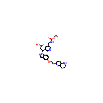 COC(=O)NCc1cncc(C(CC(=O)O)n2ncc3cc(OCCc4ccc5c(n4)CCCN5)ccc32)c1